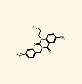 CCCn1c(=O)n(Cc2ccc(C)cc2)c(=O)c2cc(C)ccc21